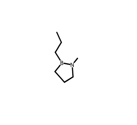 CCCB1CCCN1C